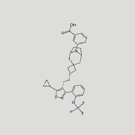 O=C(O)c1cccc(N2C3CCC2CC2(CC(OCc4c(-c5ccccc5OC(F)(F)F)noc4C4CC4)C2)C3)c1